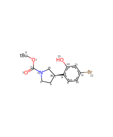 CC(C)(C)OC(=O)N1CC[C@H](c2ccc(Br)cc2O)C1